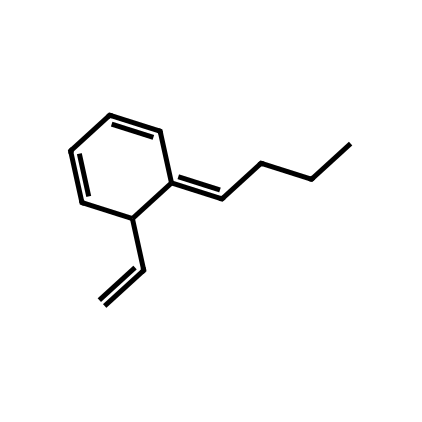 C=CC1C=CC=CC1=CCCC